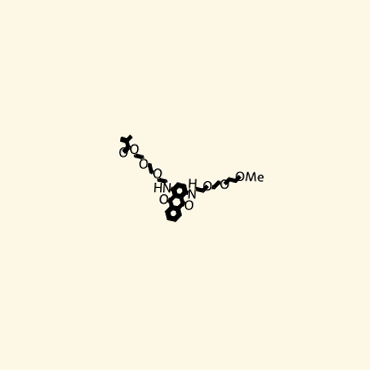 C=C(C)C(=O)OCCOCCOCCNc1ccc(NCCOCCOCCOC)c2c1C(=O)c1ccccc1C2=O